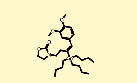 CCC[CH2][Sn]([CH2]CCC)([CH2]CCC)/[C](=C/c1ccc(OC)c(OC)c1)CCN1CCOC1=O